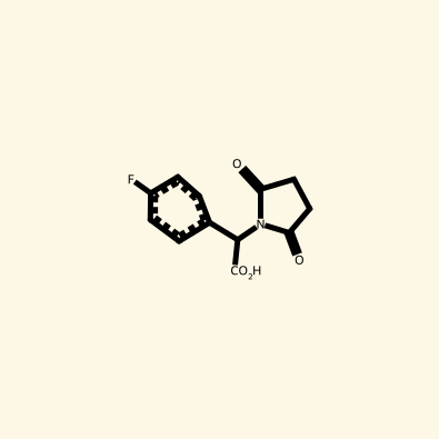 O=C(O)C(c1ccc(F)cc1)N1C(=O)CCC1=O